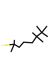 CC(C)(S)CCCC(C)(C)C(C)(C)C